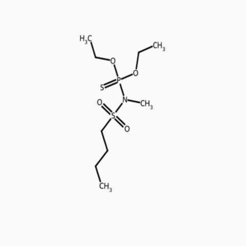 CCCCS(=O)(=O)N(C)P(=S)(OCC)OCC